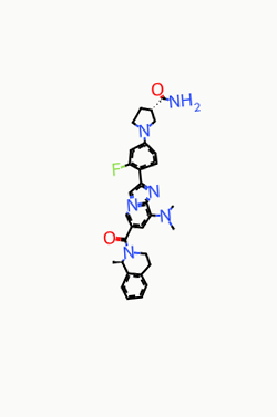 C[C@@H]1c2ccccc2CCN1C(=O)c1cc(N(C)C)c2nc(-c3ccc(N4CC[C@H](C(N)=O)C4)cc3F)cn2c1